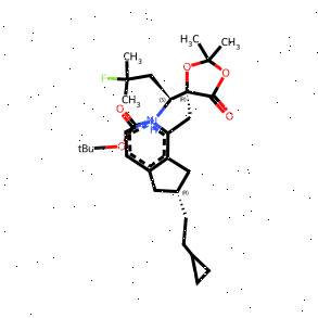 CC(C)(F)C[C@H](NC(=O)OC(C)(C)C)[C@@]1(Cc2nccc3c2C[C@H](CCC2CC2)C3)OC(C)(C)OC1=O